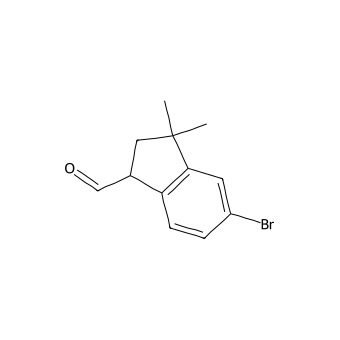 CC1(C)CC(C=O)c2ccc(Br)cc21